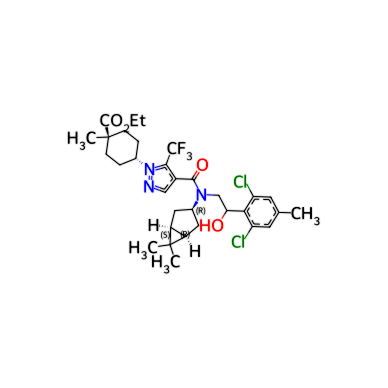 CCOC(=O)[C@]1(C)CC[C@@H](n2ncc(C(=O)N(CC(O)c3c(Cl)cc(C)cc3Cl)[C@H]3C[C@@H]4[C@H](C3)C4(C)C)c2C(F)(F)F)CC1